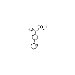 NC(CC(=O)O)c1ccc(-c2ccccn2)cc1